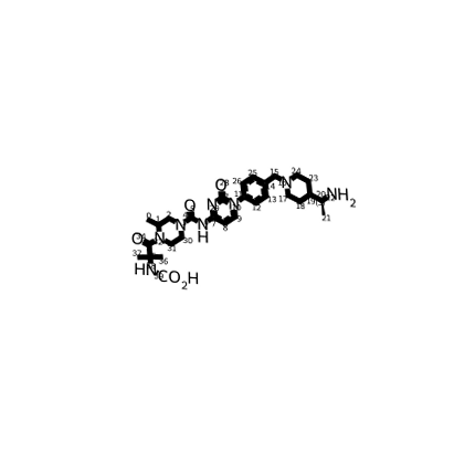 CC1CN(C(=O)Nc2ccn(-c3ccc(CN4CCC([C@H](C)N)CC4)cc3)c(=O)n2)CCN1C(=O)C(C)(C)NC(=O)O